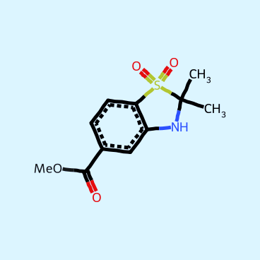 COC(=O)c1ccc2c(c1)NC(C)(C)S2(=O)=O